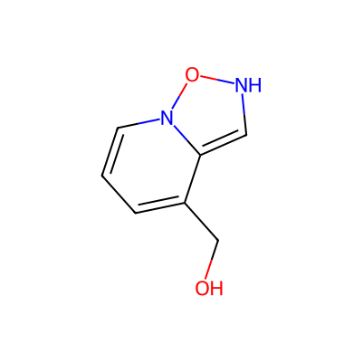 OCC1=CC=CN2ONC=C12